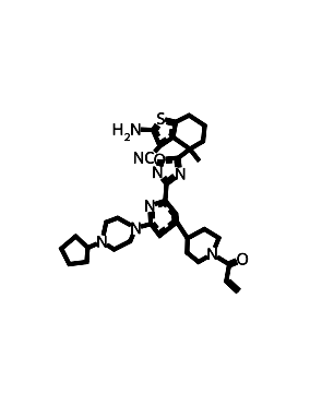 C=CC(=O)N1CCC(c2cc(-c3noc(C4(C)CCCc5sc(N)c(C#N)c54)n3)nc(N3CCN(C4CCCC4)CC3)c2)CC1